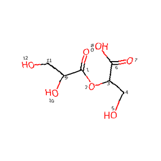 O=C(OC(CO)C(=O)O)C(O)CO